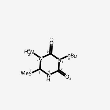 CCCCN1C(=O)NC(SC)N(N)C1=O